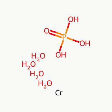 O.O.O.O.O=P(O)(O)O.[Cr]